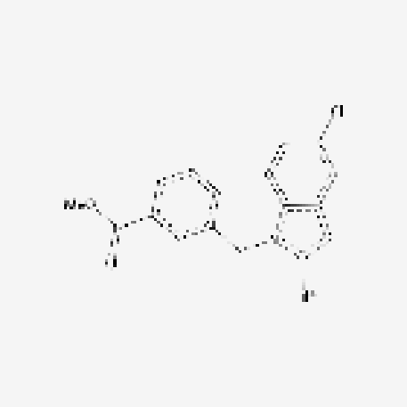 COC(=O)c1cccc(Cn2c(C(C)C)cc3cc(Cl)ccc32)c1